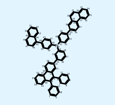 c1ccc(-c2c(-c3ccccc3)c3cc(-c4cccc(N(c5ccc(-c6ccc7c(ccc8ccccc87)c6)cc5)c5ccc(-c6cccc7ccccc67)cc5)c4)ccc3c3ccccc23)cc1